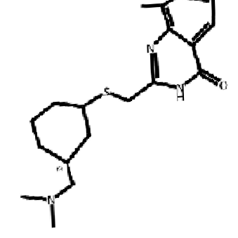 Cc1cccc2c(=O)[nH]c(CSC3CCC[C@H](CN(C)C)C3)nc12